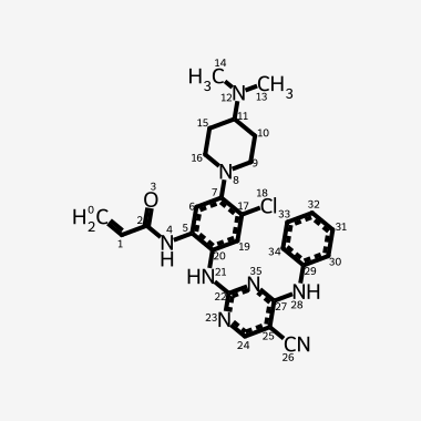 C=CC(=O)Nc1cc(N2CCC(N(C)C)CC2)c(Cl)cc1Nc1ncc(C#N)c(Nc2ccccc2)n1